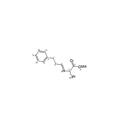 COC(=O)C(N=CCCc1ccccc1)C(C)C